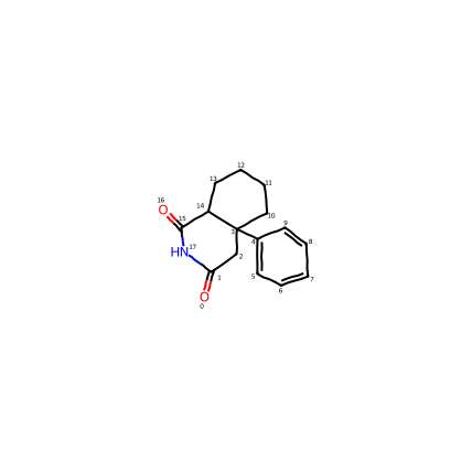 O=C1CC2(c3ccccc3)CCCCC2C(=O)N1